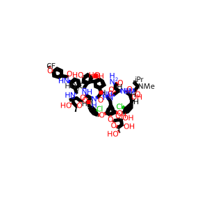 CN[C@@H](CC(C)C)C(=O)N[C@H]1C(=O)N[C@@H](CC(N)=O)C(=O)NC2C(=O)N[C@@H]3C(=O)N[C@@H](C(=O)N[C@@H](C(=O)O)c4cc(O)cc(O)c4-c4cc3ccc4O)[C@@H](O[C@@H]3CC(C)(NCc4cccc(NC(=O)c5ccc(OC(F)(F)F)cc5)c4)[C@H](O)[C@H](C)O3)c3ccc(c(Cl)c3)Oc3cc2cc(c3OC2O[C@@H](CO)[C@@H](O)[C@@H](O)[C@H]2O)Oc2ccc(cc2Cl)[C@H]1O